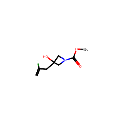 C=C(F)CC1(O)CN(C(=O)OC(C)(C)C)C1